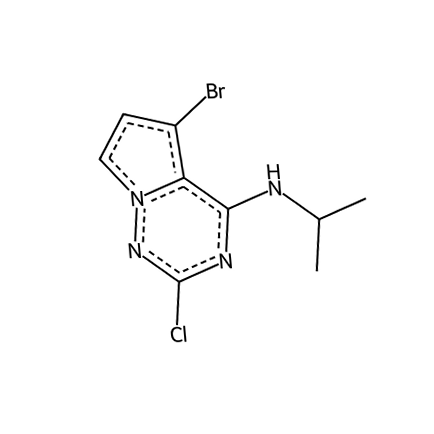 CC(C)Nc1nc(Cl)nn2ccc(Br)c12